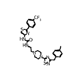 Cc1ccc(Cc2nsc(N3CCN(CCNC(=O)Nc4csc(-c5ccc(C(F)(F)F)cc5)n4)CC3)n2)cc1